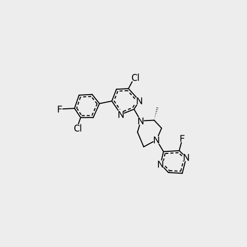 C[C@@H]1CN(c2nccnc2F)CCN1c1nc(Cl)cc(-c2ccc(F)c(Cl)c2)n1